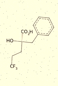 O=C(O)[C@@](O)(CCC(F)(F)F)Cc1ccccc1